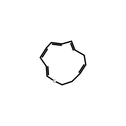 [CH]1/C=C/C=C\C=C\C=C\C/C=C\CC1